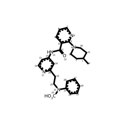 CC1CCN(c2ncccc2C(=O)Nc2ccnc(CCN(C(=O)O)c3ccccc3)c2)CC1